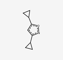 c1c(C2CC2)noc1C1CC1